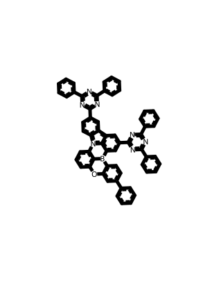 c1ccc(-c2ccc3c(c2)Oc2cccc4c2B3c2cc(-c3nc(-c5ccccc5)nc(-c5ccccc5)n3)cc3c5cc(-c6nc(-c7ccccc7)nc(-c7ccccc7)n6)ccc5n-4c23)cc1